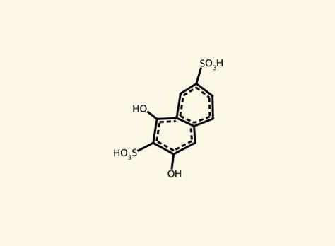 O=S(=O)(O)c1ccc2cc(O)c(S(=O)(=O)O)c(O)c2c1